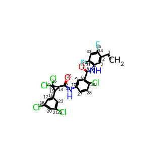 C=Cc1cc(NC(=O)c2cc(NC(=O)C3C(c4cc(Cl)cc(Cl)c4)C3(Cl)Cl)ccc2Cl)c(F)cc1F